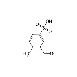 Cc1ccc(S(=O)(=O)O)cc1C[O]